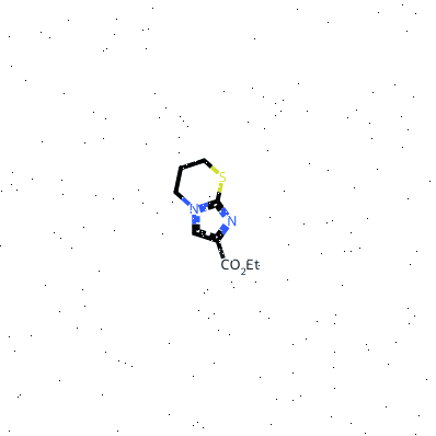 CCOC(=O)c1cn2c(n1)SCCC2